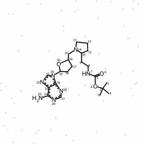 CC(C)(C)OC(=O)NCCC1CCCN1CC1CCC(n2cnc3c(N)ncnc32)O1